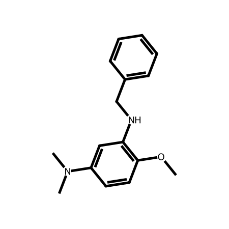 COc1ccc(N(C)C)cc1NCc1ccccc1